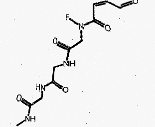 CNC(=O)CNC(=O)CNC(=O)CN(F)C(=O)/C=C\C=O